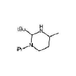 CC1CCN(C(C)C)C(C(C)(C)C)N1